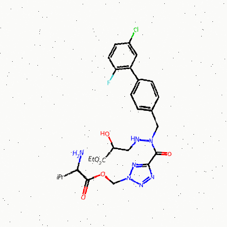 CCOC(=O)C(O)CNN(Cc1ccc(-c2cc(Cl)ccc2F)cc1)C(=O)c1nnn(COC(=O)C(N)C(C)C)n1